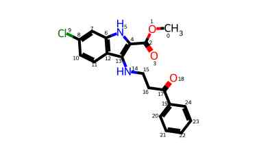 COC(=O)c1[nH]c2cc(Cl)ccc2c1NCCC(=O)c1ccccc1